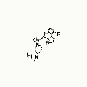 NC1CCCN(C(=O)C2CC2c2ncccc2-c2c(F)cccc2F)CC1